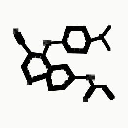 C=CC(=O)Nc1ccc2ncc(C#N)c(Nc3ccc(N(C)C)cc3)c2c1